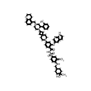 CC(C)c1ccccc1C1CN(Cc2cccc3c2CCCO3)CCN1C1CC2(CCN(c3ccc(C(=O)NS(=O)(=O)c4ccc(NCC5CCC(C)(O)CC5)c([N+](=O)[O-])c4)c(Oc4cnc5[nH]ccc5c4)c3)CC2)C1